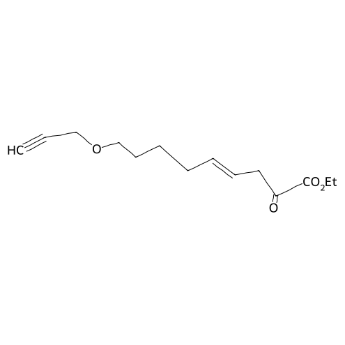 C#CCOCCCCC=CCC(=O)C(=O)OCC